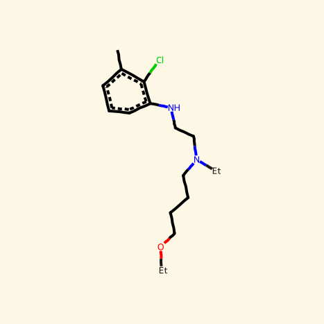 CCOCCCCN(CC)CCNc1cccc(C)c1Cl